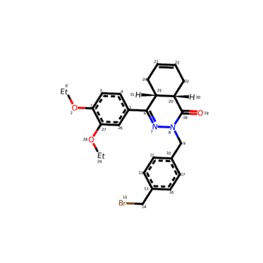 CCOc1ccc(C2=NN(Cc3ccc(CBr)cc3)C(=O)[C@H]3CC=CC[C@@H]23)cc1OCC